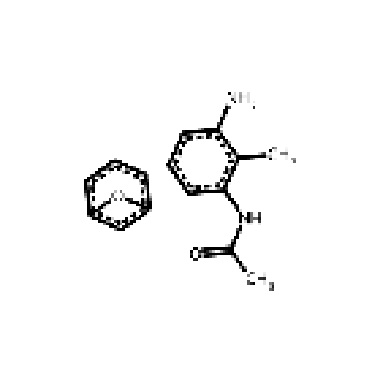 CC(=O)Nc1cccc(N)c1C.c1cc2cc(c1)O2